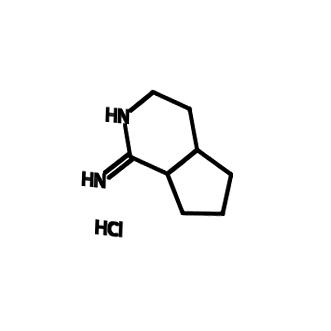 Cl.N=C1NCCC2CCCC12